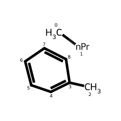 CCCC.Cc1ccccc1